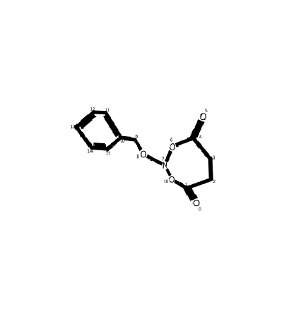 O=C1CCC(=O)ON(OCc2ccccc2)O1